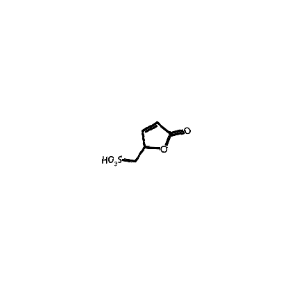 O=C1C=CC(CS(=O)(=O)O)O1